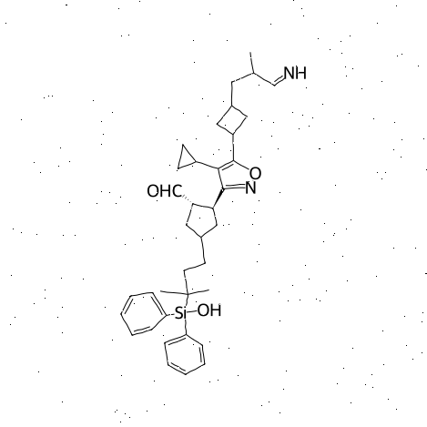 CC(C=N)CC1CC(c2onc([C@H]3CC(CCC(C)(C)[Si](O)(c4ccccc4)c4ccccc4)C[C@@H]3C=O)c2C2CC2)C1